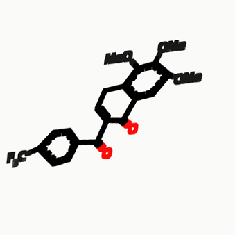 COc1cc2c(c(OC)c1OC)CC=C(C(=O)c1ccc(C(F)(F)F)cc1)C2=O